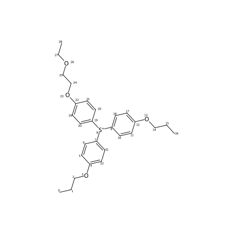 CCCOc1ccc([S+](c2ccc(OCCC)cc2)c2ccc(OCCOCC)cc2)cc1